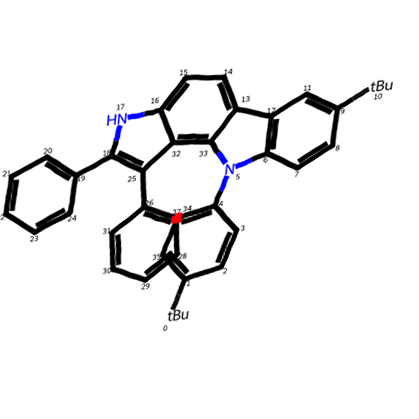 CC(C)(C)c1ccc(-n2c3ccc(C(C)(C)C)cc3c3ccc4[nH]c(-c5ccccc5)c(-c5ccccc5)c4c32)cc1